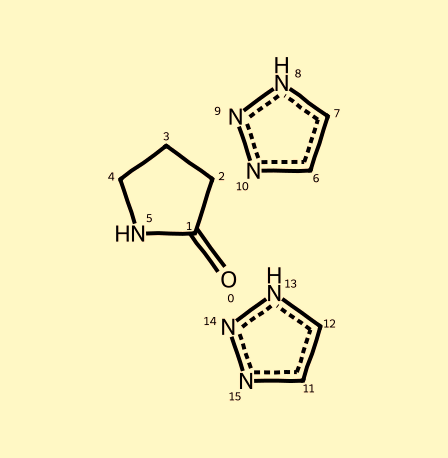 O=C1CCCN1.c1c[nH]nn1.c1c[nH]nn1